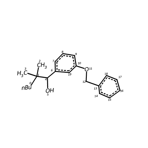 CCCCC(C)(C)C(O)c1cccc(OCc2ccccc2)c1